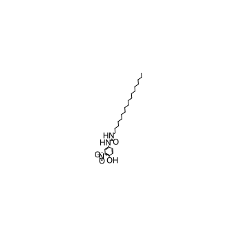 CCCCCCCCCCCCCCCCCCNC(=O)Nc1ccc(O)c([N+](=O)[O-])c1